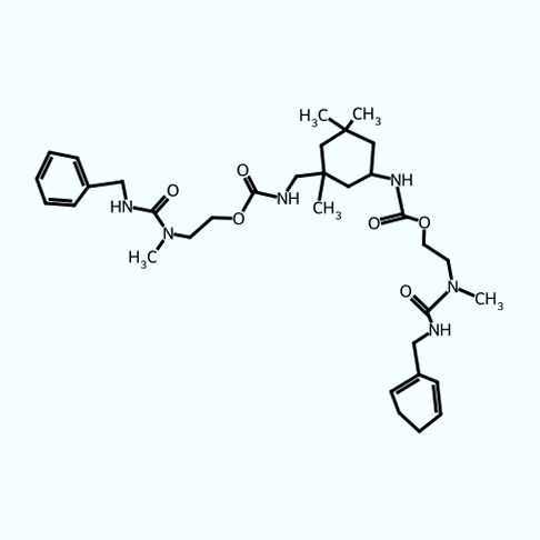 CN(CCOC(=O)NC1CC(C)(C)CC(C)(CNC(=O)OCCN(C)C(=O)NCc2ccccc2)C1)C(=O)NCC1=CCCC=C1